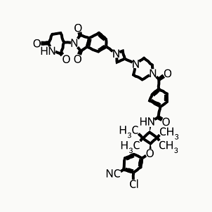 CC1(C)[C@H](NC(=O)c2ccc(C(=O)N3CCN(C4CN(c5ccc6c(c5)C(=O)N(C5CCC(=O)NC5=O)C6=O)C4)CC3)cc2)C(C)(C)[C@H]1Oc1ccc(C#N)c(Cl)c1